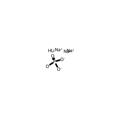 O=P([O-])([O-])[O-].[LiH].[Na+].[Na+].[Na+]